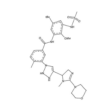 COc1c(NC(=O)c2ccc(C)c(N3C=C(C4CN=C(N5CCOCC5)N4C)NN3)c2)cc(C(C)(C)C)cc1NS(C)(=O)=O